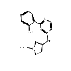 O=C(O)N1CCC(Nc2ccnc(-c3ccccc3O)n2)C1